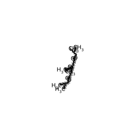 CCCCC(C/C=C\COC(=O)CCCCCCCP(CCCCCCCC(=O)OC/C=C\CC(CCCC)CCCC)C(=O)/C=C/N(C)C)CCCC